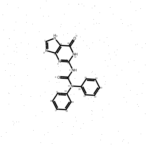 O=C(Nc1nc2n[c][nH]c2c(=O)[nH]1)N(c1ccccc1)c1ccccc1